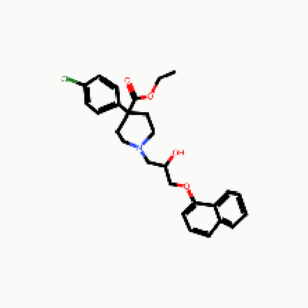 CCOC(=O)C1(c2ccc(Cl)cc2)CCN(CC(O)COc2cccc3ccccc23)CC1